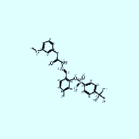 COc1cccc(CC(=O)NN=Cc2ccc(C)cc2OS(=O)(=O)c2ccc(C(F)(F)F)cc2)c1